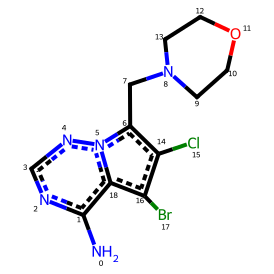 Nc1ncnn2c(CN3CCOCC3)c(Cl)c(Br)c12